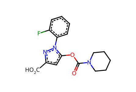 O=C(O)c1cc(OC(=O)N2CCCCC2)n(-c2ccccc2F)n1